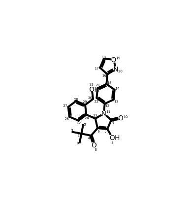 CC(C)(C)C(=O)C1=C(O)C(=O)N(c2ccc(-c3ccon3)cc2)C1c1ccccc1CO